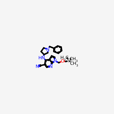 C[Si](C)(C)COCn1ccc2c(NC3CCN(Cc4ccccc4)C3)c(C#N)cnc21